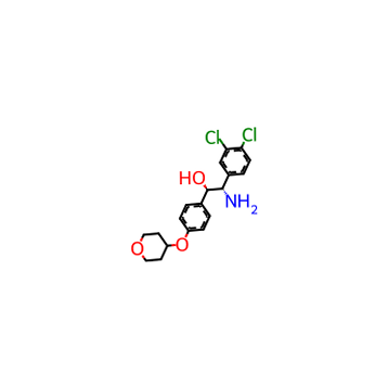 N[C@@H](c1ccc(Cl)c(Cl)c1)[C@H](O)c1ccc(OC2CCOCC2)cc1